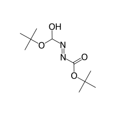 CC(C)(C)OC(=O)/N=N/C(O)OC(C)(C)C